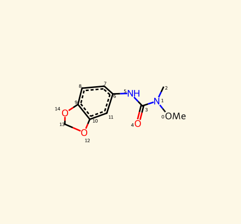 CON(C)C(=O)Nc1ccc2c(c1)OCO2